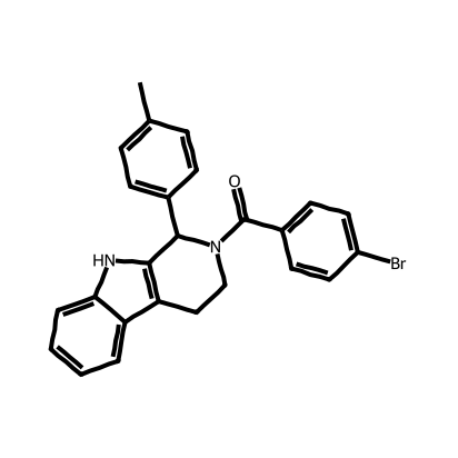 Cc1ccc(C2c3[nH]c4ccccc4c3CCN2C(=O)c2ccc(Br)cc2)cc1